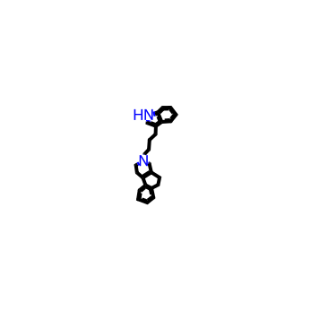 c1ccc2c(c1)CCC1=C2CCN(CCCCc2c[nH]c3ccccc23)C1